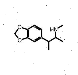 CNC(C)C(C)c1ccc2c(c1)OCO2